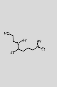 [CH2]CC(CCCN(CC)C(C)C)N(CCO)C(C)C